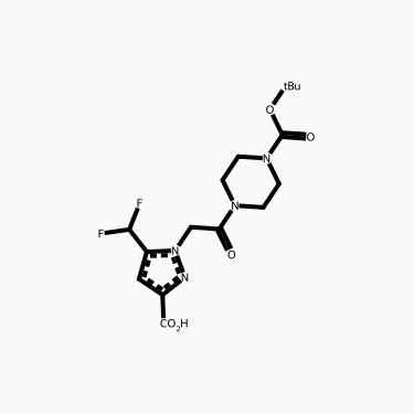 CC(C)(C)OC(=O)N1CCN(C(=O)Cn2nc(C(=O)O)cc2C(F)F)CC1